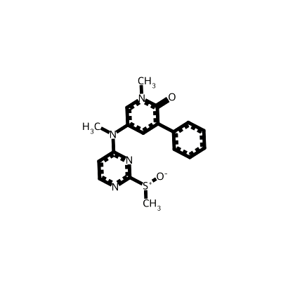 CN(c1cc(-c2ccccc2)c(=O)n(C)c1)c1ccnc([S+](C)[O-])n1